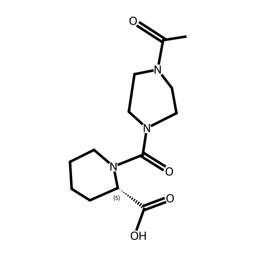 CC(=O)N1CCN(C(=O)N2CCCC[C@H]2C(=O)O)CC1